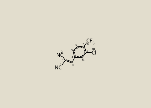 N#CC(C#N)=Cc1ccc(C(F)(F)F)c(Cl)c1